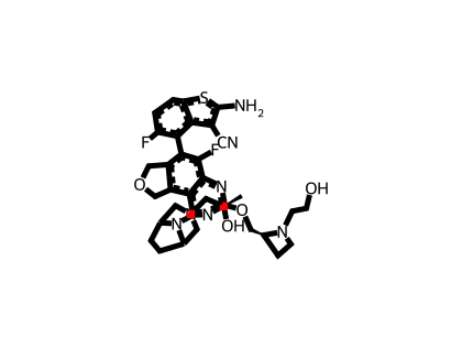 C[C@@H](O)CN1CC2CCC(C1)N2c1nc(OC[C@@H]2CCN2CCO)nc2c(F)c(-c3c(F)ccc4sc(N)c(C#N)c34)c3c(c12)COC3